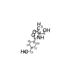 CC(=O)[C@@H](CO)NC(=O)C1CCC(CO)CC1